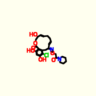 O=C1OCC(O)/C=C/CC/C=C/C(=N/OCC(=O)N2CCCCC2)Cc2c(Cl)c(O)cc(O)c21